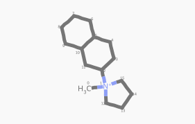 C[N+]1(C2CCC3CCCCC3C2)CCCC1